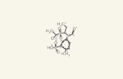 CCC(N(C=O)c1ccc(C)c(S(=O)(=O)O)c1)S(=O)(=O)C(C)Cl